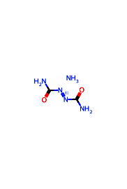 N.NC(=O)/N=N/C(N)=O